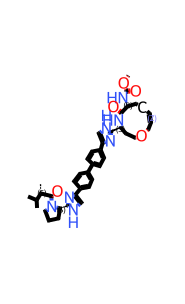 COC(=O)N[C@@H]1CC/C=C\COCC[C@@H](c2nc(-c3ccc(-c4ccc(-c5c[nH]c([C@@H]6CCCN6C(=O)[C@@H](C)C(C)C)n5)cc4)cc3)c[nH]2)NC1=O